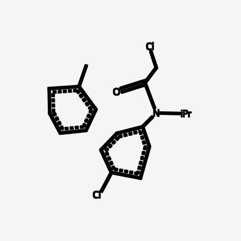 CC(C)N(C(=O)CCl)c1ccc(Cl)cc1.Cc1ccccc1